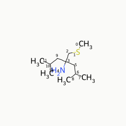 CSCC(N)(CC(C)C)CC(C)C